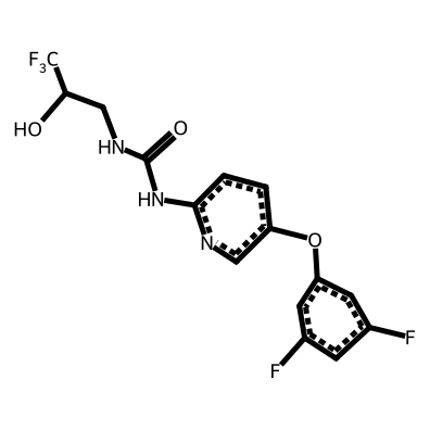 O=C(NCC(O)C(F)(F)F)Nc1ccc(Oc2cc(F)cc(F)c2)cn1